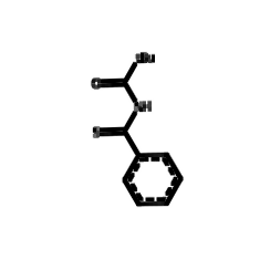 CC(C)(C)C(=O)NC(=S)c1ccccc1